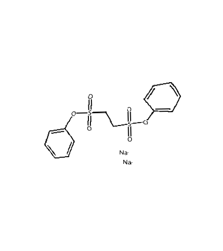 O=S(=O)(CCS(=O)(=O)Oc1ccccc1)Oc1ccccc1.[Na].[Na]